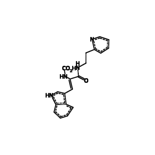 O=C(O)NC(=Cc1c[nH]c2ccccc12)C(=O)NCCc1ccccn1